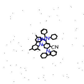 CC1=CC(C)CC2=C1N(C1CC(n3c4c(c5c3CCCC5)CCC=C4)C(C#N)C=C1C1NC(C3CC=CCC3)N1C1CCCCC1)C1C(C)=CC(C)CC21